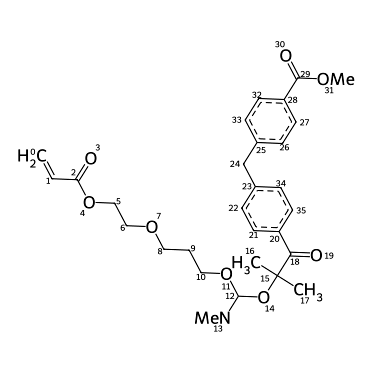 C=CC(=O)OCCOCCCOC(NC)OC(C)(C)C(=O)c1ccc(Cc2ccc(C(=O)OC)cc2)cc1